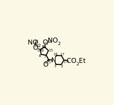 CCOC(=O)C1CCN(C(=O)C2C[C@H](O[N+](=O)[O-])[C@H](O[N+](=O)[O-])C2)CC1